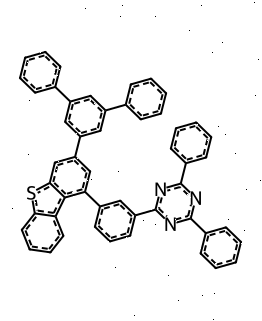 c1ccc(-c2cc(-c3ccccc3)cc(-c3cc(-c4cccc(-c5nc(-c6ccccc6)nc(-c6ccccc6)n5)c4)c4c(c3)sc3ccccc34)c2)cc1